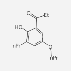 CCCOc1cc(CCC)c(O)c(C(=O)CC)c1